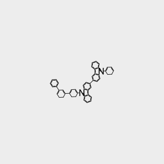 C1=CCCC(n2c3ccccc3c3cc(-c4ccc5c(c4)c4ccccc4n5C4=CC=C(C5=CC(c6ccccc6)=CCC5)CC4)ccc32)=C1